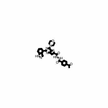 CC(=O)c1ccc(C(=O)NNC(=O)c2cc3nc(-c4cccc5[nH]ncc45)nc(N4CCOCC4)c3s2)cc1